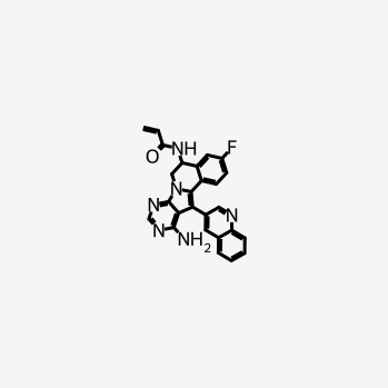 C=CC(=O)NC1Cn2c(c(-c3cnc4ccccc4c3)c3c(N)ncnc32)-c2ccc(F)cc21